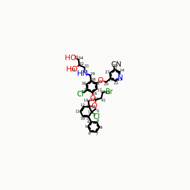 CC1(Cl)C(c2ccccc2)=CC=CC1(COc1cc(OCc2cncc(C#N)c2)c(CNCC(O)CO)cc1Cl)OCCCBr